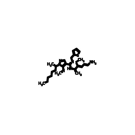 C=Nc1c(/C(=N\Cc2cccs2)NC(=C)/C(=C/C=C/N)SC)cnn1C(C)CCCCCC